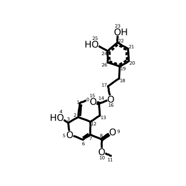 C/C=C1/C(O)OC=C(C(=O)OC)C1CC(=O)OCCc1ccc(O)c(O)c1